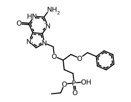 CCOP(=O)(O)CCC(COCc1ccccc1)OCn1cnc2c(=O)[nH]c(N)nc21